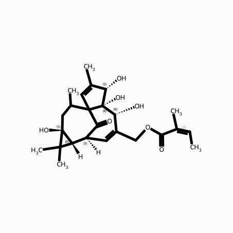 C/C=C(/C)C(=O)OCC1=C[C@@H]2C(=O)C3(C=C(C)[C@H](O)[C@@]3(O)[C@@H]1O)C(C)C[C@]1(O)[C@H]2C1(C)C